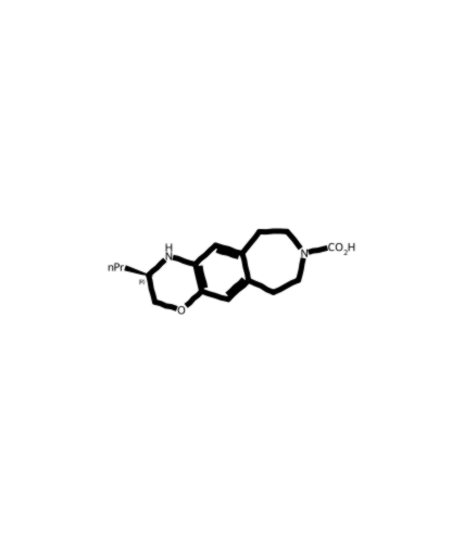 CCC[C@@H]1COc2cc3c(cc2N1)CCN(C(=O)O)CC3